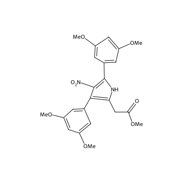 COC(=O)Cc1[nH]c(-c2cc(OC)cc(OC)c2)c([N+](=O)[O-])c1-c1cc(OC)cc(OC)c1